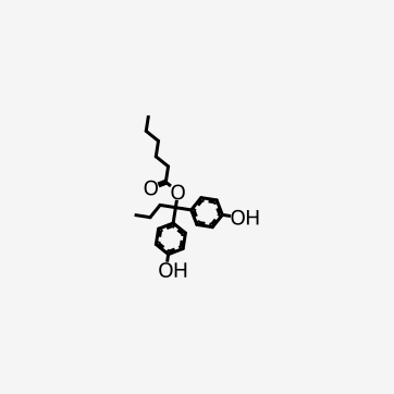 CCCCCC(=O)OC(CCC)(c1ccc(O)cc1)c1ccc(O)cc1